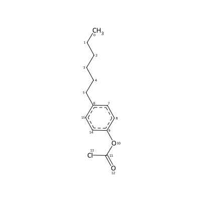 CCCCCCc1ccc(OC(=O)Cl)cc1